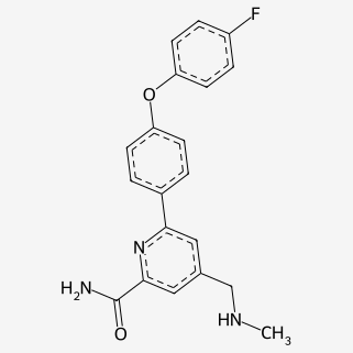 CNCc1cc(C(N)=O)nc(-c2ccc(Oc3ccc(F)cc3)cc2)c1